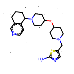 Nc1ncc(CN2CCC(OC3CCN(C4CCCc5cnccc54)CC3)CC2)s1